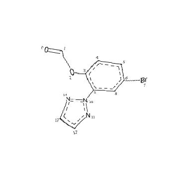 O=COc1ccc(Br)cc1-n1nccn1